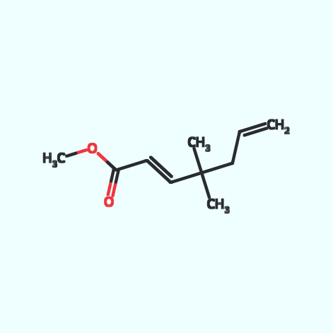 C=CCC(C)(C)/C=C/C(=O)OC